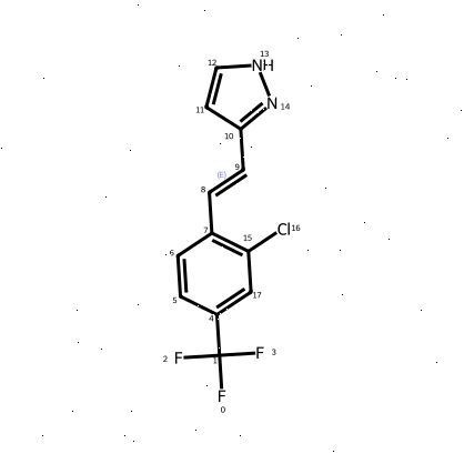 FC(F)(F)c1ccc(/C=C/c2cc[nH]n2)c(Cl)c1